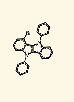 Brc1cccc2c1c1c(c3ccccc3n1-c1ccccc1)n2-c1ccccc1